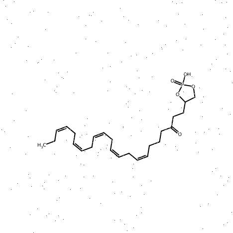 CC/C=C\C/C=C\C/C=C\C/C=C\C/C=C\CCCC(=O)CCC1COP(=O)(O)O1